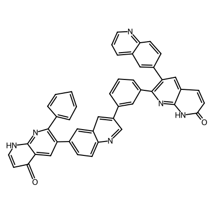 O=c1ccc2cc(-c3ccc4ncccc4c3)c(-c3cccc(-c4cnc5ccc(-c6cc7c(=O)cc[nH]c7nc6-c6ccccc6)cc5c4)c3)nc2[nH]1